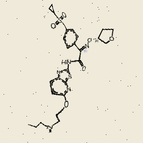 CCCN(C)CCOc1ccc2nc(NC(=O)/C(=N/O[C@@H]3CCOC3)c3ccc(S(=O)(=O)C4CC4)cc3)sc2n1